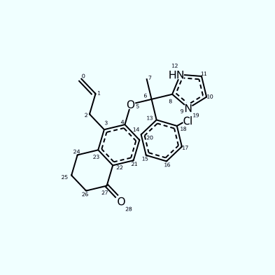 C=CCc1c(OC(C)(c2ncc[nH]2)c2ccccc2Cl)ccc2c1CCCC2=O